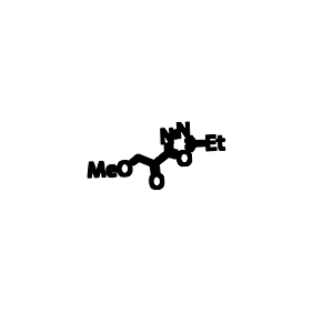 CCc1nnc(C(=O)COC)o1